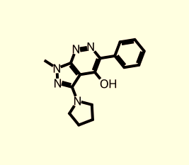 Cn1nc(N2CCCC2)c2c(O)c(-c3ccccc3)nnc21